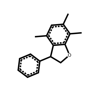 Cc1cc(C)c2c(c1C)OCC2c1ccccc1